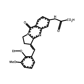 CCOc1c(C=C2CCn3c2nc2cc(NC(=O)C(=O)O)ccc2c3=O)cccc1OC